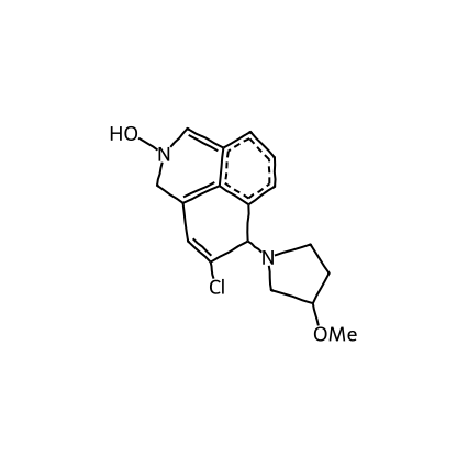 COC1CCN(C2C(Cl)=CC3=c4c2cccc4=CN(O)C3)C1